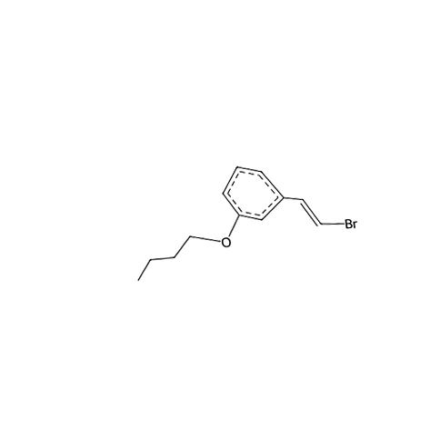 CCCCOc1cccc(/C=C/Br)c1